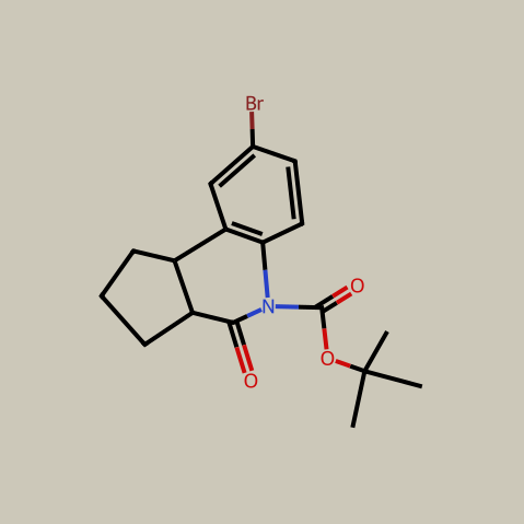 CC(C)(C)OC(=O)N1C(=O)C2CCCC2c2cc(Br)ccc21